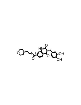 O=C(NCCN1CCOCC1)c1ccc2c(=O)n(Cc3ccc(O)c(O)c3)c(=O)[nH]c2c1